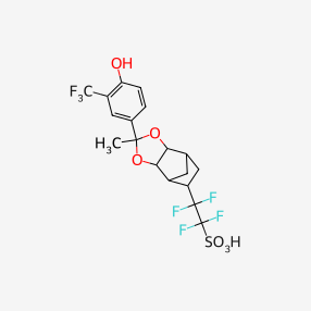 CC1(c2ccc(O)c(C(F)(F)F)c2)OC2C3CC(C2O1)C(C(F)(F)C(F)(F)S(=O)(=O)O)C3